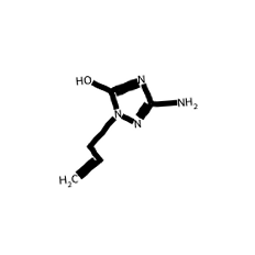 C=CCn1nc(N)nc1O